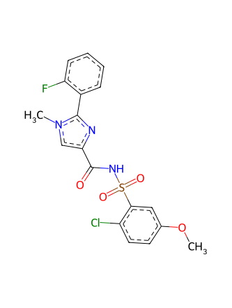 COc1ccc(Cl)c(S(=O)(=O)NC(=O)c2cn(C)c(-c3ccccc3F)n2)c1